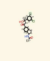 CCC(=O)NC1CCc2cc(C(=O)CC(O)(c3cc(Cl)cc(Cl)c3)C(F)(F)F)ccc21